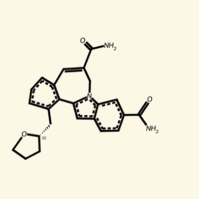 NC(=O)C1=Cc2cccc(C[C@@H]3CCCO3)c2-c2cc3ccc(C(N)=O)cc3n2C1